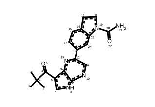 CC(C)(C)C(=O)c1c[nH]c2ncc(-c3c[c]c4ccn(C(N)=O)c4c3)nc12